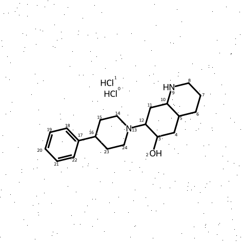 Cl.Cl.OC1CC2CCCNC2CC1N1CCC(c2ccccc2)CC1